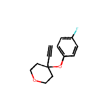 C#CC1(Oc2ccc(F)cc2)CCOCC1